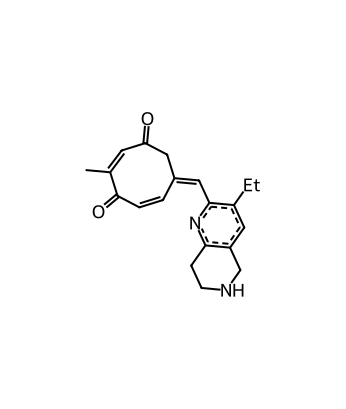 CCc1cc2c(nc1/C=C1\C=C/C(=O)/C(C)=C\C(=O)C1)CCNC2